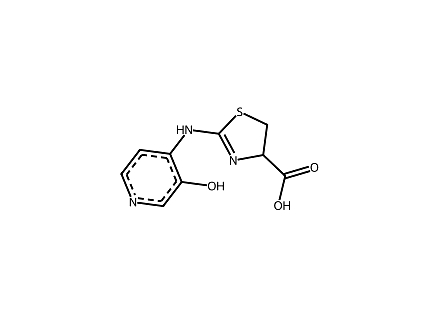 O=C(O)C1CSC(Nc2ccncc2O)=N1